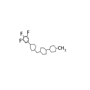 CC1CCC(C2CCC(CC3CCC(c4cc(F)c(F)c(F)c4)CC3)CC2)CC1